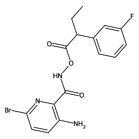 CCC(C(=O)ONC(=O)c1nc(Br)ccc1N)c1cccc(F)c1